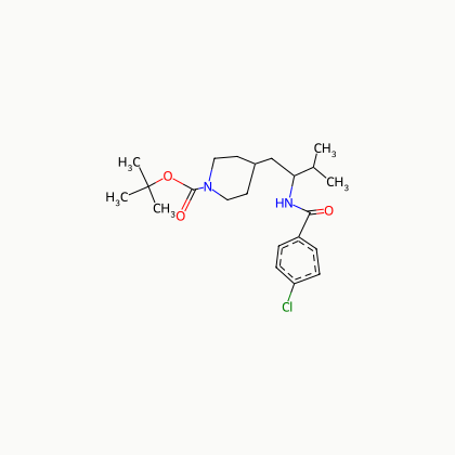 CC(C)C(CC1CCN(C(=O)OC(C)(C)C)CC1)NC(=O)c1ccc(Cl)cc1